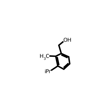 Cc1c(CO)cccc1C(C)C